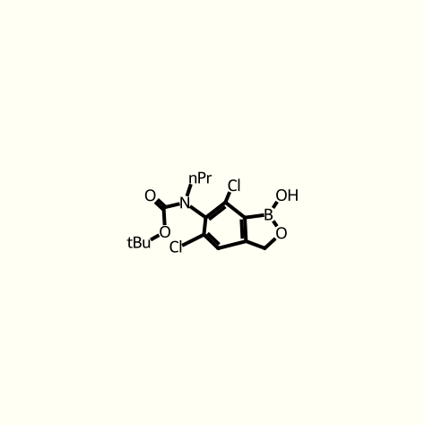 CCCN(C(=O)OC(C)(C)C)c1c(Cl)cc2c(c1Cl)B(O)OC2